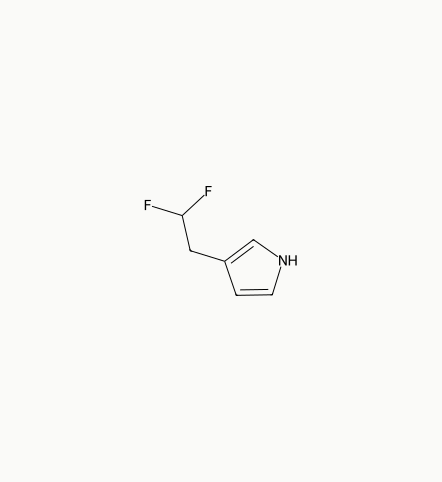 FC(F)Cc1cc[nH]c1